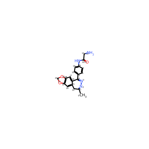 CC1=NN=C(c2ccc(NC(=O)CN)cc2)c2cc3c(cc2C1)OCO3